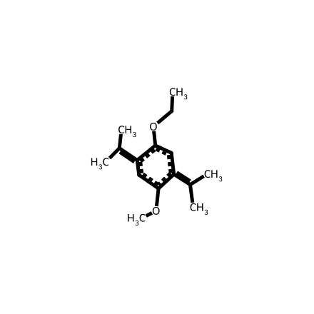 CCOc1cc(=C(C)C)c(OC)cc1=C(C)C